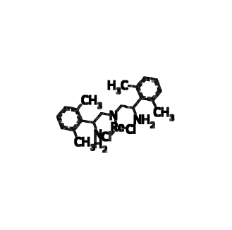 Cc1cccc(C)c1C(N)C[N](CC(N)c1c(C)cccc1C)[Re]([Cl])[Cl]